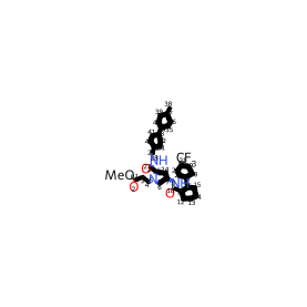 COC(=O)CCn1cc(NC(=O)c2ccccc2-c2ccc(C(F)(F)F)cc2)cc1C(=O)NCc1ccc(-c2ccc(C)cc2)cc1